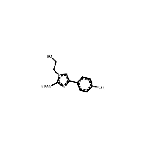 CCOC(=O)c1nc(-c2ccc(C)cc2)cn1CCO